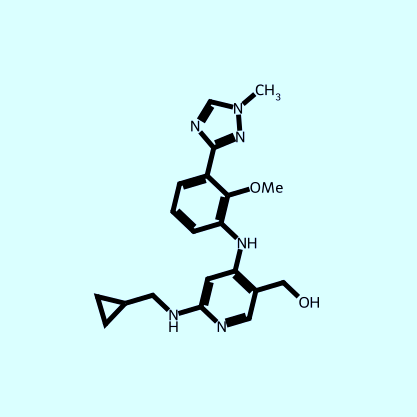 COc1c(Nc2cc(NCC3CC3)ncc2CO)cccc1-c1ncn(C)n1